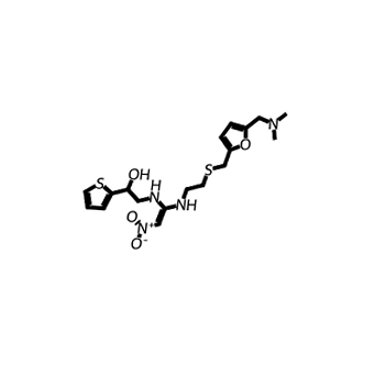 CN(C)Cc1ccc(CSCCN/C(=C/[N+](=O)[O-])NCC(O)c2cccs2)o1